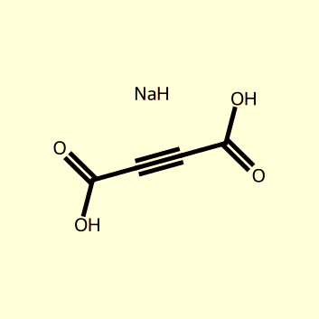 O=C(O)C#CC(=O)O.[NaH]